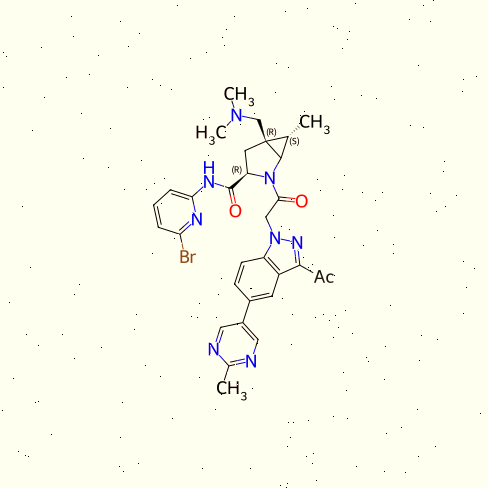 CC(=O)c1nn(CC(=O)N2C3[C@@H](C)[C@@]3(CN(C)C)C[C@@H]2C(=O)Nc2cccc(Br)n2)c2ccc(-c3cnc(C)nc3)cc12